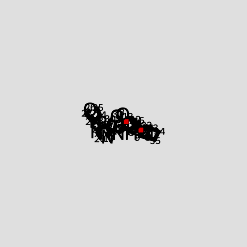 CC(C)(C)OC(=O)N1CC(N2C3C=C(c4ccc5c(c4)Nc4ncnc(N6CCOCC6)c4CO5)CC2CC3)C1